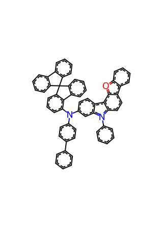 c1ccc(-c2ccc(N(c3ccc4c5c6oc7ccccc7c6ccc5n(-c5ccccc5)c4c3)c3cccc4c3-c3ccccc3C43c4ccccc4-c4ccccc43)cc2)cc1